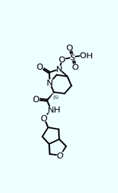 O=C(NOC1CC2COCC2C1)[C@@H]1CCC2CN1C(=O)N2OS(=O)(=O)O